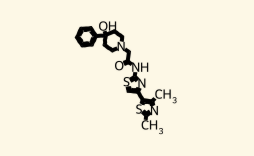 Cc1nc(C)c(-c2csc(NC(=O)CN3CCC(O)(c4ccccc4)CC3)n2)s1